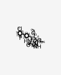 CCOCC[C@](C)(C[C@@H](Cc1ccc(-c2cc(Cl)ccc2F)cc1)NC(=O)c1c[nH]nn1)C(=O)OCC